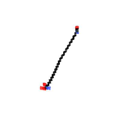 O=C=NCCCCCCCCCCCCCCCCCCCCCCCCCCCCCCCCCCCCC(=O)NO